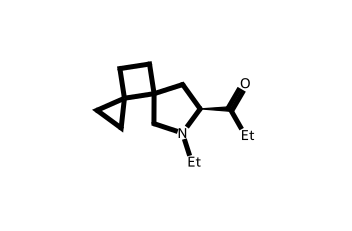 CCC(=O)[C@@H]1CC2(CCC23CC3)CN1CC